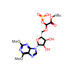 CCCCOC(=O)C(OC[C@H]1O[C@@H](n2cnc3c(OC)nc(OC)nc32)[C@H](O)[C@@H]1O)O[PH](=O)O